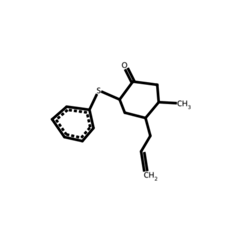 C=CCC1CC(Sc2ccccc2)C(=O)CC1C